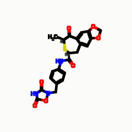 C[C@@H]1S[C@@H](C(=O)Nc2ccc(Cn3oc(=O)[nH]c3=O)cc2)Cc2cc3c(cc2C1=O)OCO3